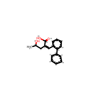 CC(O)CC(=Cc1ccccc1-c1ccccc1)C(=O)O